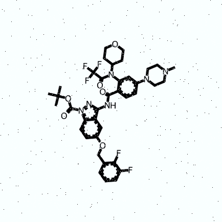 CN1CCN(c2ccc(C(=O)Nc3nn(C(=O)OC(C)(C)C)c4ccc(OCc5cccc(F)c5F)cc34)c(N(C(=O)C(F)(F)F)C3CCOCC3)c2)CC1